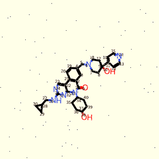 O=c1c2cc(CN3CCC(O)(c4ccncc4)CC3)ccc2c2cnc(NCC3CC3)nc2n1C1CCC(O)CC1